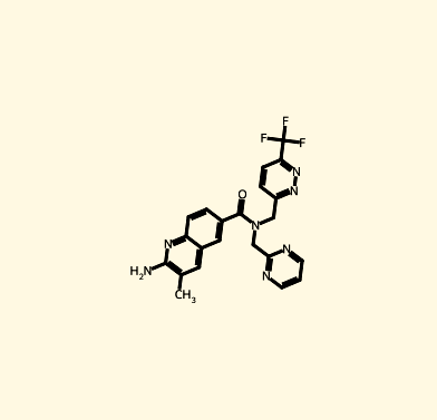 Cc1cc2cc(C(=O)N(Cc3ccc(C(F)(F)F)nn3)Cc3ncccn3)ccc2nc1N